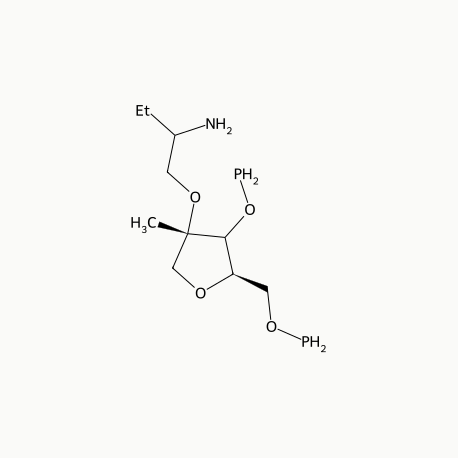 CCC(N)CO[C@@]1(C)CO[C@H](COP)C1OP